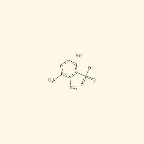 O=[N+]([O-])c1cccc(S(=O)(=O)[O-])c1[N+](=O)[O-].[Na+]